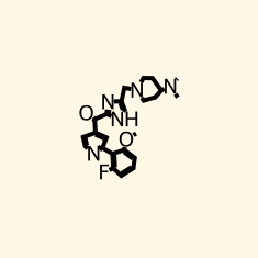 COc1cccc(F)c1-c1cc(C(=O)c2nc(CN3CCC(N(C)C)CC3)c[nH]2)ccn1